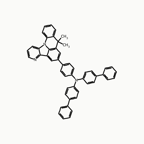 CC1(C)c2ccccc2-n2c3cccnc3c3cc(-c4ccc(N(c5ccc(-c6ccccc6)cc5)c5ccc(-c6ccccc6)cc5)cc4)cc1c32